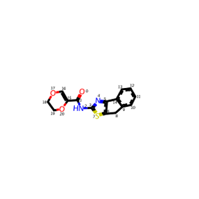 O=C(Nc1nc2c(s1)Cc1ccccc1-2)C1=COCCO1